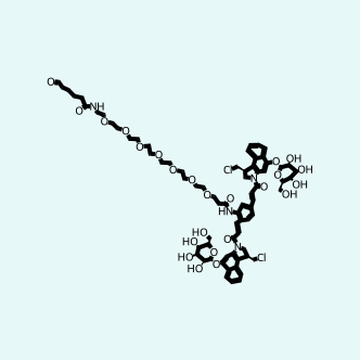 O=CCCCCC(=O)NCCOCCOCCOCCOCCOCCOCCOCCC(=O)Nc1cc(/C=C/C(=O)N2C[C@@H](CCl)c3c2cc(O[C@@H]2O[C@H](CO)[C@H](O)[C@H](O)[C@H]2O)c2ccccc32)ccc1/C=C/C(=O)N1C[C@@H](CCl)c2c1cc(O[C@@H]1O[C@H](CO)[C@H](O)[C@H](O)[C@H]1O)c1ccccc21